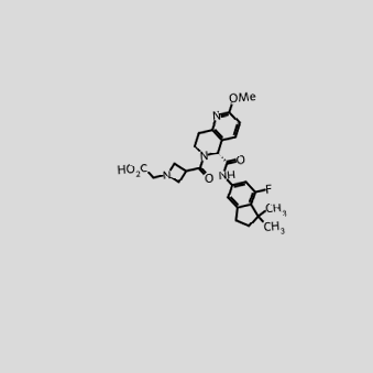 COc1ccc2c(n1)CCN(C(=O)C1CN(CC(=O)O)C1)[C@H]2C(=O)Nc1cc(F)c2c(c1)CCC2(C)C